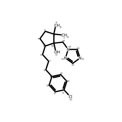 CC1(C)CCC(CCCc2ccc(Cl)cc2)C1(O)Cn1cncn1